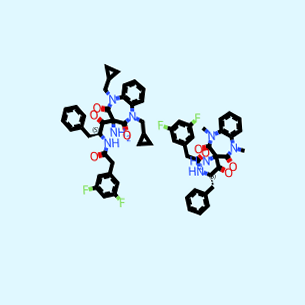 CN1C(=O)C(N)(C(=O)[C@H](Cc2ccccc2)NC(=O)Cc2cc(F)cc(F)c2)C(=O)N(C)c2ccccc21.NC1(C(=O)[C@H](Cc2ccccc2)NC(=O)Cc2cc(F)cc(F)c2)C(=O)N(CC2CC2)c2ccccc2N(CC2CC2)C1=O